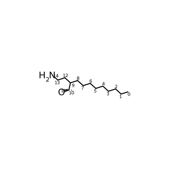 CCCCCCCCCC([C]=O)CCN